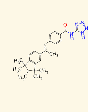 CC(=Cc1ccc(C(=O)Nc2nnn[nH]2)cc1)c1ccc2c(c1)C(C)(C)C(C)C2(C)C